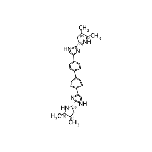 C[C@@H]1C[C@@H](c2nc(-c3ccc(-c4ccc(-c5c[nH]c([C@@H]6C[C@@H](C)[C@@H](C)N6)n5)cc4)cc3)c[nH]2)N[C@@H]1C